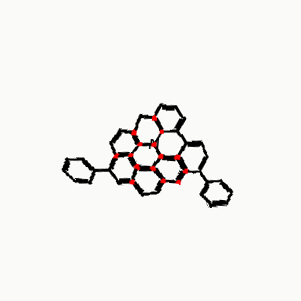 c1ccc(-c2ccc(-c3ccccc3N(c3ccccc3-c3ccc(-c4ccccc4)cc3)c3ccccc3-c3cccc4cccc(C5CCCCC5)c34)cc2)cc1